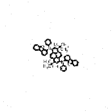 CC(C)(C)c1cc(N(c2ccccc2)c2cccc3c2oc2ccccc23)c2ccc3c(C(C)(C)C)cc(N(c4ccccc4)c4cccc5c4oc4ccccc45)c4ccc1c2c43